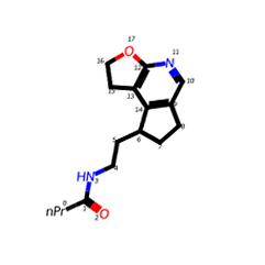 CCCC(=O)NCCC1CCc2cnc3c(c21)CCO3